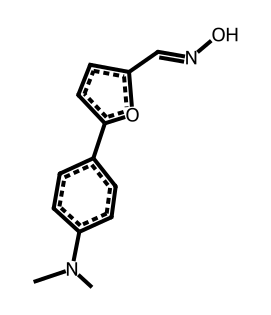 CN(C)c1ccc(-c2ccc(C=NO)o2)cc1